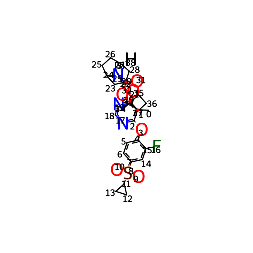 Cc1c(Oc2ccc(S(=O)(=O)C3CC3)cc2F)ncnc1OC1CC2CC[C@@H](C1)N2C(=O)OC1(C)CCC1